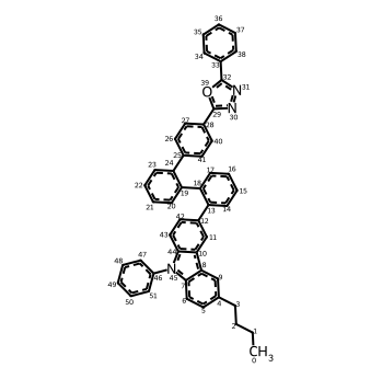 CCCCc1ccc2c(c1)c1cc(-c3ccccc3-c3ccccc3-c3ccc(-c4nnc(-c5ccccc5)o4)cc3)ccc1n2-c1ccccc1